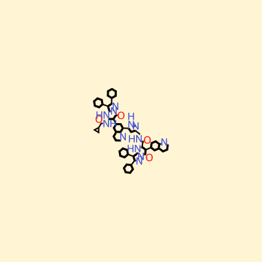 O=C(NCc1cc(-c2cc(-c3c(NC(=O)C4CC4)[nH]c4c(-c5ccccc5)c(-c5ccccc5)nn4c3=O)cc3cccnc23)[nH]n1)c1[nH]c2c(-c3ccccc3)c(-c3ccccc3)nn2c(=O)c1-c1ccc2ncccc2c1